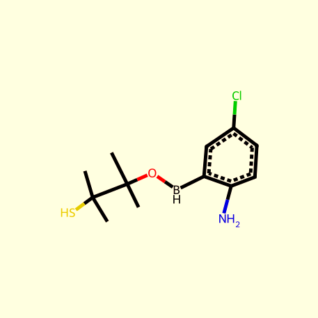 CC(C)(S)C(C)(C)OBc1cc(Cl)ccc1N